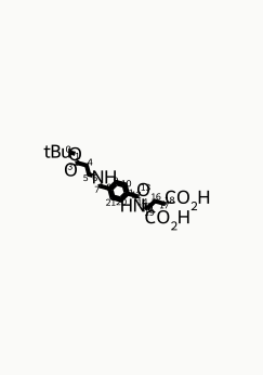 CC(C)(C)OC(=O)CCNCc1ccc(C(=O)N[C@H](CCC(=O)O)C(=O)O)cc1